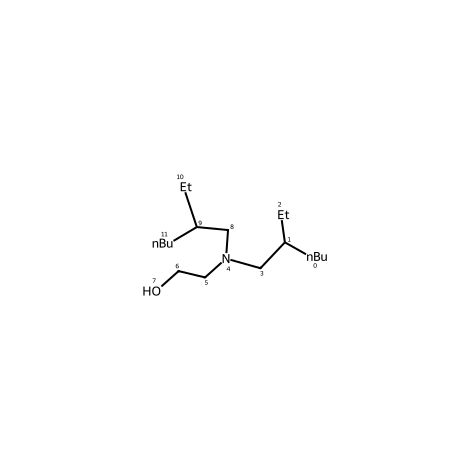 CCCCC(CC)CN(CCO)CC(CC)CCCC